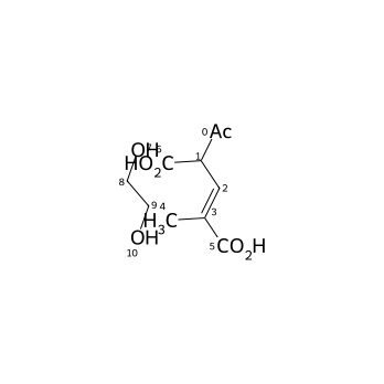 CC(=O)C(C=C(C)C(=O)O)C(=O)O.OCCO